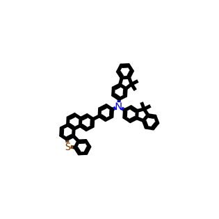 CC1(C)c2ccccc2-c2ccc(N(c3ccc(-c4ccc5c(ccc6ccc7sc8ccccc8c7c65)c4)cc3)c3ccc4c(c3)C(C)(C)c3ccccc3-4)cc21